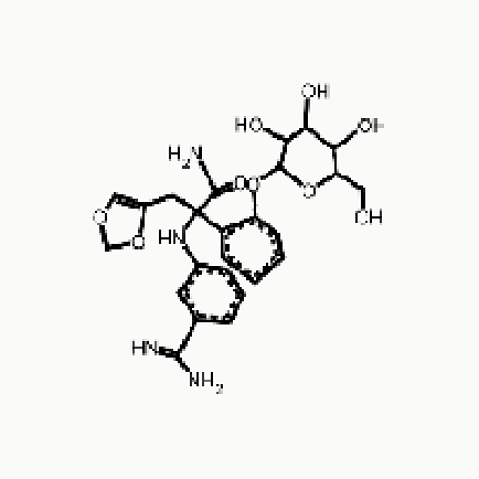 N=C(N)c1cccc(NC(CC2=COCO2)(C(N)=O)c2ccccc2OC2OC(CO)C(O)C(O)C2O)c1